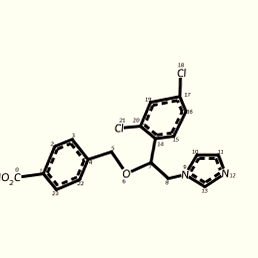 O=C(O)c1ccc(COC(Cn2ccnc2)c2ccc(Cl)cc2Cl)cc1